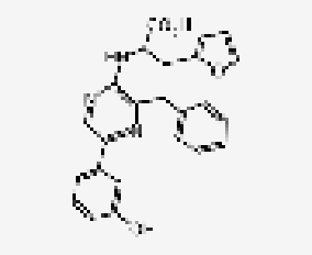 O=C(O)C(Cc1ccco1)Nc1ncc(-c2cccc(O)c2)nc1Cc1ccccc1